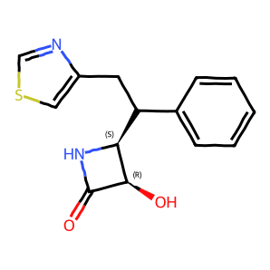 O=C1N[C@@H](C(Cc2cscn2)c2ccccc2)[C@H]1O